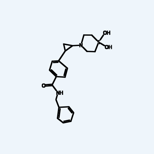 O=C(NCc1ccccc1)c1ccc(C2CC2N2CCS(O)(O)CC2)cc1